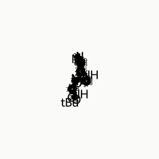 CC(C)(C)OC(=O)Nc1cccc(-c2cnc(N[C@@H]3CCCC[C@H]3N[C@H]3CCCN(c4ccc5ncnn5c4)C3)o2)c1